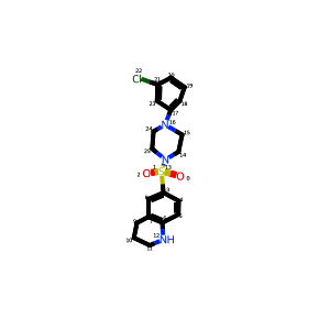 O=S(=O)(c1ccc2c(c1)CCCN2)N1CCN(c2cccc(Cl)c2)CC1